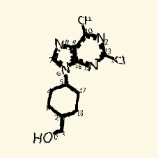 OCC1CCC(n2cnc3c(Cl)nc(Cl)nc32)CC1